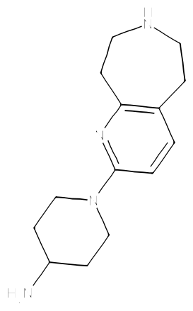 NC1CCN(c2ccc3c(n2)CCNCC3)CC1